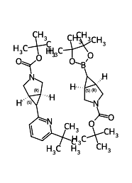 CC(C)(C)OC(=O)N1C[C@@H]2C(B3OC(C)(C)C(C)(C)O3)[C@@H]2C1.CC(C)(C)OC(=O)N1C[C@@H]2C(c3cccc(C(C)(C)C)n3)[C@@H]2C1